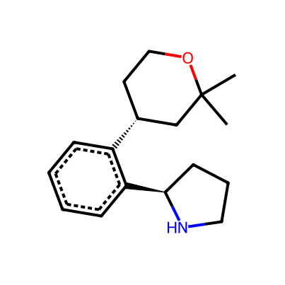 CC1(C)C[C@H](c2ccccc2[C@H]2CCCN2)CCO1